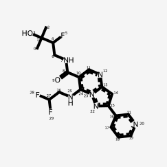 CC(C)(O)C(F)CNC(=O)c1cnc2cc(-c3cccnc3)nn2c1NCC(F)F